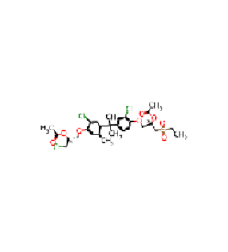 CCS(=O)(=O)C[C@@H](COc1ccc(C(C)(C)C2C=C(Cl)C(OC[C@H](CCl)OC(C)=O)=CC2C)cc1Cl)OC(C)=O